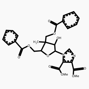 COC(=O)c1ncn(C2OC(COC(=O)c3ccccc3)C(C)(COC(=O)c3ccccc3)C2O)c1C(=O)OC